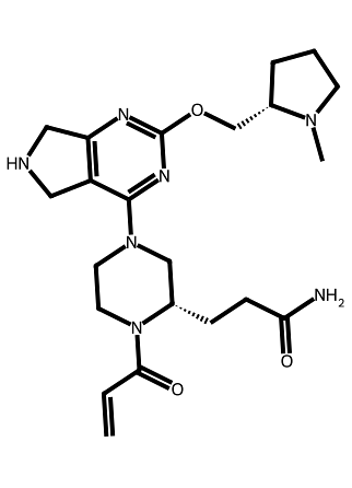 C=CC(=O)N1CCN(c2nc(OC[C@@H]3CCCN3C)nc3c2CNC3)C[C@@H]1CCC(N)=O